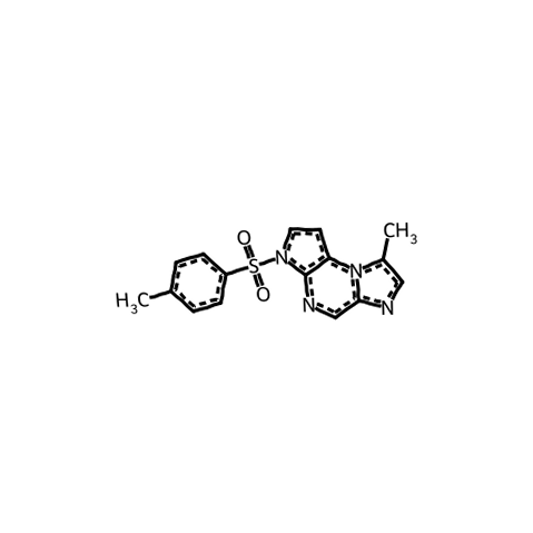 Cc1ccc(S(=O)(=O)n2ccc3c2ncc2ncc(C)n23)cc1